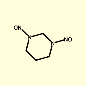 O=NN1CCCN(N=O)C1